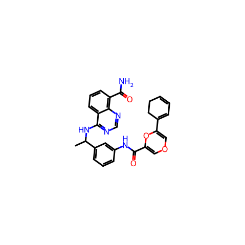 CC(Nc1ncnc2c(C(N)=O)cccc12)c1cccc(NC(=O)C2=COC=C(C3=CC=CCC3)O2)c1